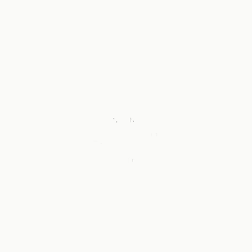 CCc1c(C(C)C)nn(-c2ccccc2C)c1O